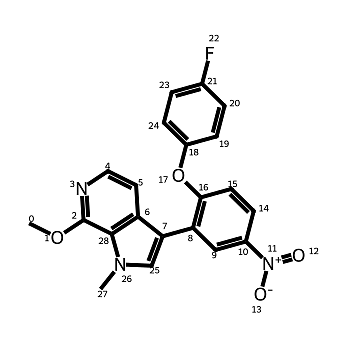 COc1nccc2c(-c3cc([N+](=O)[O-])ccc3Oc3ccc(F)cc3)cn(C)c12